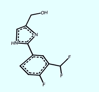 OCc1c[nH]c(-c2ccc(F)c(C(F)F)c2)n1